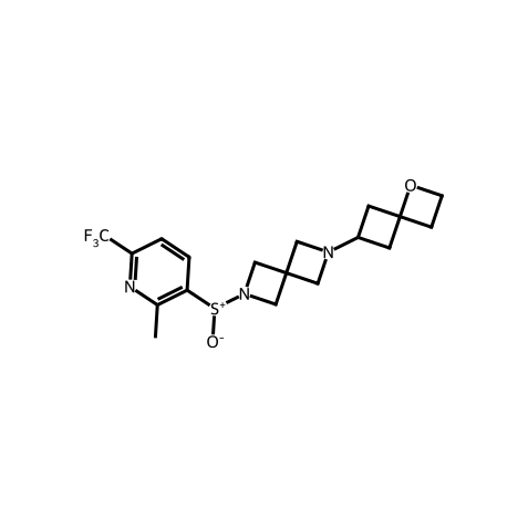 Cc1nc(C(F)(F)F)ccc1[S+]([O-])N1CC2(CN(C3CC4(CCO4)C3)C2)C1